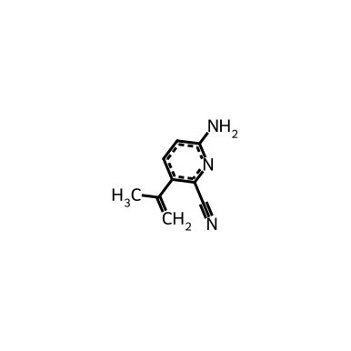 C=C(C)c1ccc(N)nc1C#N